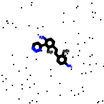 Nc1ccc(C=Cc2ccc(N)c(-c3ccnnn3)c2S(=O)(=O)O)c(S(=O)(=O)O)c1